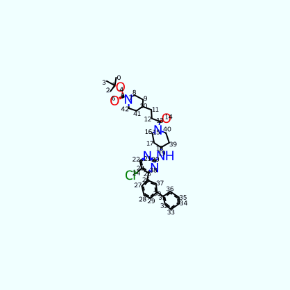 CC(C)(C)OC(=O)N1CCC(CCC(=O)N2CCC(Nc3ncc(Cl)c(-c4cccc(-c5ccccc5)c4)n3)CC2)CC1